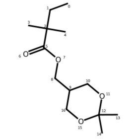 CCC(C)(C)C(=O)OCC1COC(C)(C)OC1